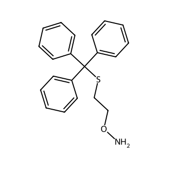 NOCCSC(c1ccccc1)(c1ccccc1)c1ccccc1